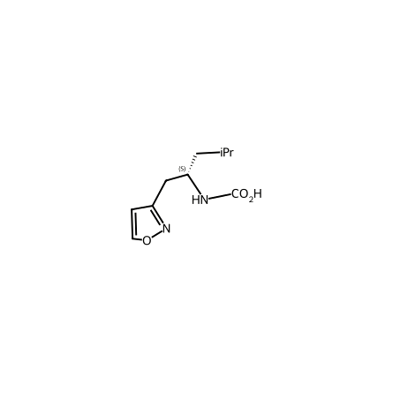 CC(C)C[C@@H](Cc1ccon1)NC(=O)O